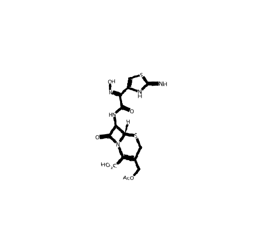 CC(=O)OCC1=C(C(=O)O)N2C(=O)C(NC(=O)C(=NO)c3csc(=N)[nH]3)[C@@H]2SC1